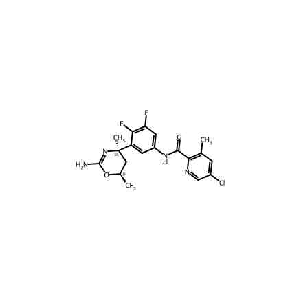 Cc1cc(Cl)cnc1C(=O)Nc1cc(F)c(F)c([C@@]2(C)C[C@@H](C(F)(F)F)OC(N)=N2)c1